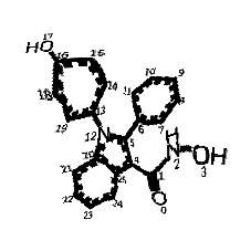 O=C(NO)c1c(-c2ccccc2)n(-c2ccc(O)cc2)c2ccccc12